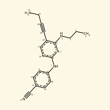 CCCNc1nc(Nc2ccc(C#N)cc2)ncc1C#CCN